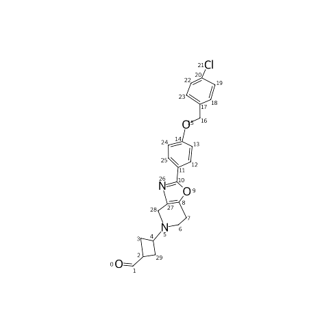 O=CC1CC(N2CCc3oc(-c4ccc(OCc5ccc(Cl)cc5)cc4)nc3C2)C1